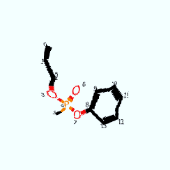 C=CCOP(C)(=O)Oc1ccccc1